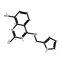 Oc1cccc2c(NCc3ccco3)nc(Cl)nc12